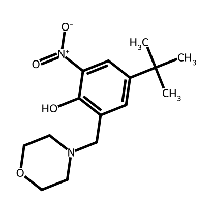 CC(C)(C)c1cc(CN2CCOCC2)c(O)c([N+](=O)[O-])c1